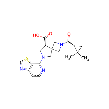 CC1(C)C[C@@H]1C(=O)N1CC2(C1)CN(c1nccc3ncsc13)C[C@H]2C(=O)O